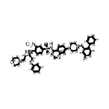 O=[N+]([O-])c1cc(S(=O)(=O)Nc2ncnc3cc(N4CCN(Cc5cc(F)ccc5-c5ccccc5)CC4)ccc23)ccc1N[C@H](CCN1CCOCC1)CSc1ccccc1